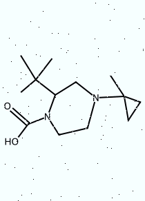 CC(C)(C)C1CN(C2(C)CC2)CCN1C(=O)O